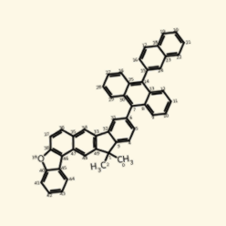 CC1(C)c2ccc(-c3c4ccccc4c(-c4ccc5ccccc5c4)c4ccccc34)cc2-c2cc3ccc4oc5ccccc5c4c3cc21